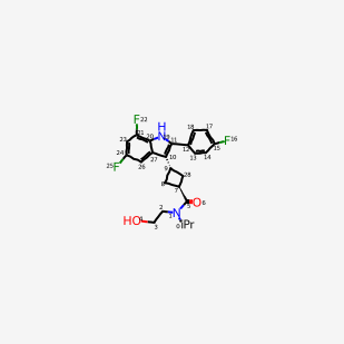 CC(C)N(CCO)C(=O)[C@H]1C[C@H](c2c(-c3ccc(F)cc3)[nH]c3c(F)cc(F)cc32)C1